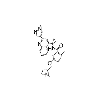 Cc1ccc(OCC2CCN2C)cc1C(=O)NC1(c2cc(-c3cnn(C)c3)nc3ccccc23)CC1